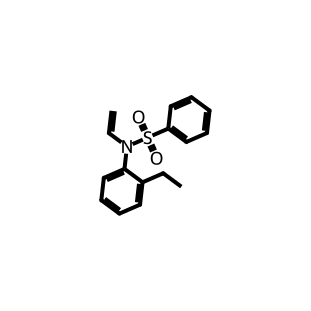 C=CN(c1ccccc1CC)S(=O)(=O)c1ccccc1